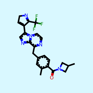 Cc1cc(Cc2nccn3c(C4=CCN=C4C(F)(F)F)cnc23)ccc1C(=O)N1CC(C)C1